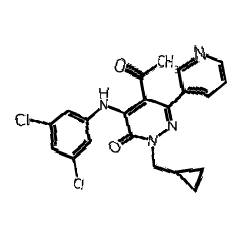 CC(=O)c1c(-c2cccnc2)nn(CC2CC2)c(=O)c1Nc1cc(Cl)cc(Cl)c1